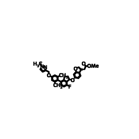 COC(=O)C[C@@H]1COc2cc(OC3CCc4c(-c5c(C)cc(OCc6ccn(C)n6)cc5C)ccc(F)c43)ccc21